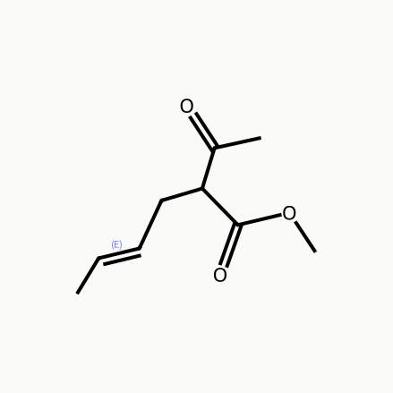 C/C=C/CC(C(C)=O)C(=O)OC